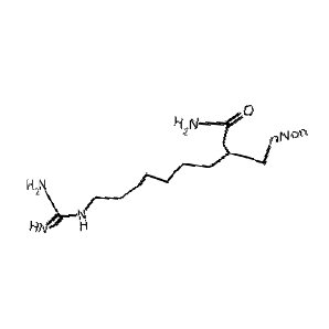 CCCCCCCCCCC(CCCCCCNC(=N)N)C(N)=O